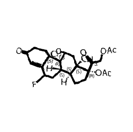 CC(=O)OCC(=O)[C@@]1(OC(C)=O)CC[C@H]2[C@@H]3CC(F)C4=CC(=O)CC[C@]4(C)[C@]34OC4C[C@@]21C